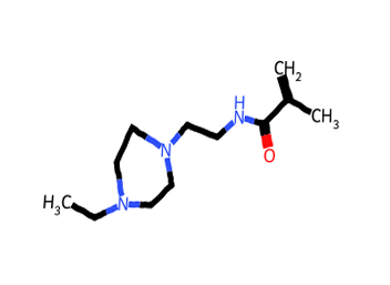 C=C(C)C(=O)NCCN1CCN(CC)CC1